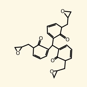 O=C1C(C(C2=CC=CC(CC3CO3)C2=O)C2=CC=CC(CC3CO3)C2=O)=CC=CC1CC1CO1